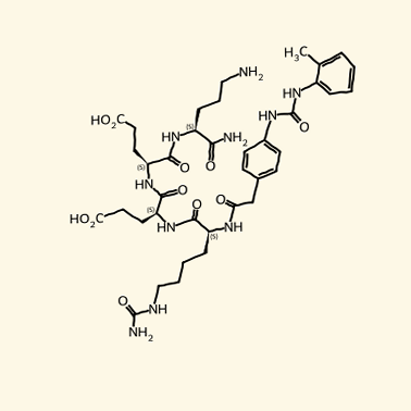 Cc1ccccc1NC(=O)Nc1ccc(CC(=O)N[C@@H](CCCCNC(N)=O)C(=O)N[C@@H](CCC(=O)O)C(=O)N[C@@H](CCC(=O)O)C(=O)N[C@@H](CCCN)C(N)=O)cc1